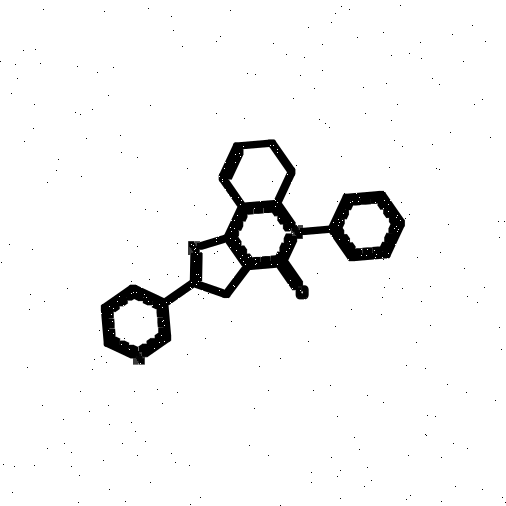 O=c1c2c(c3c(n1-c1ccccc1)CCC=C3)N=C(c1cccnc1)C2